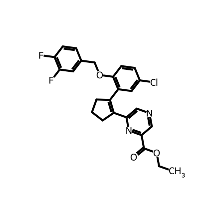 CCOC(=O)c1cncc(C2=C(c3cc(Cl)ccc3OCc3ccc(F)c(F)c3)CCC2)n1